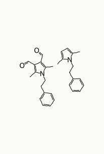 Cc1c(C=O)c(C=O)c(C)n1CCc1ccccc1.Cc1ccc(C)n1CCc1ccccc1